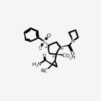 N#CC1(C(N)=O)CC1[C@]1(C(=O)O)C[C@H](S(=O)(=O)c2ccccc2)C[C@H]1C(=O)N1CCC1